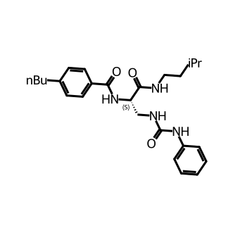 CCCCc1ccc(C(=O)N[C@@H](CNC(=O)Nc2ccccc2)C(=O)NCCC(C)C)cc1